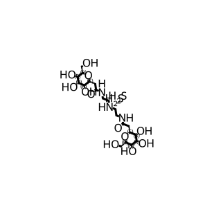 O=C(C[C@@H]1O[C@H](CO)[C@H](O)[C@H](O)[C@H]1O)NCCNCCNC(=O)C[C@@H]1O[C@H](CO)[C@H](O)[C@H](O)[C@H]1O.S.S